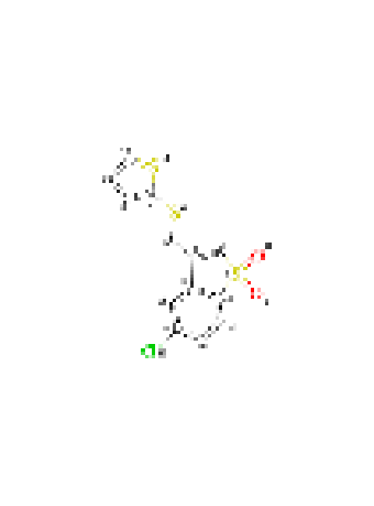 O=S1(=O)C=C(CSc2cccs2)c2cc(Cl)ccc21